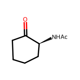 CC(=O)N[C@H]1CCCCC1=O